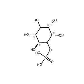 O=P(O)(O)OC1[C@@H](O)[C@H](O)C(O)[C@H](O)[C@@H]1O